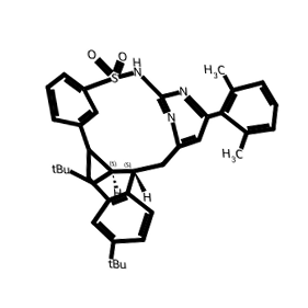 Cc1cccc(C)c1-c1cc2nc(n1)NS(=O)(=O)c1cccc(c1)C1Cc3cc(C(C)(C)C)ccc3[C@@H](C2)[C@H]1CC(C)(C)C